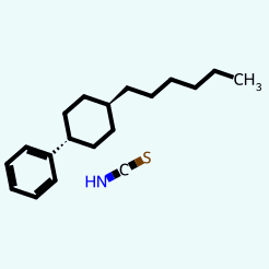 CCCCCC[C@H]1CC[C@H](c2ccccc2)CC1.N=C=S